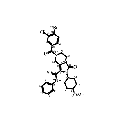 COC1CCC(n2c(C(=O)Nc3ccccc3)c3n(c2=O)CCN(C(=O)c2ccc(Br)c(Cl)c2)C3)CC1